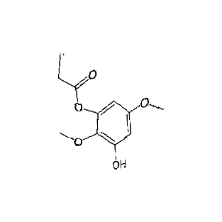 [CH2]CC(=O)Oc1cc(OC)cc(O)c1OC